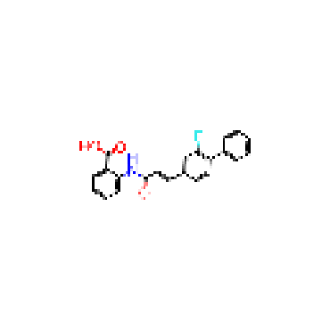 O=C(C=Cc1ccc(-c2ccccc2)c(F)c1)Nc1ccccc1C(=O)O